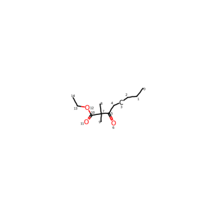 CCCCCC(=O)C(C)(C)C(=O)OCC